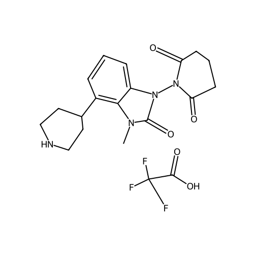 Cn1c(=O)n(N2C(=O)CCCC2=O)c2cccc(C3CCNCC3)c21.O=C(O)C(F)(F)F